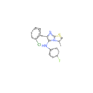 Cc1csc2nc(-c3ccccc3Cl)c(Nc3ccc(F)cc3)n12